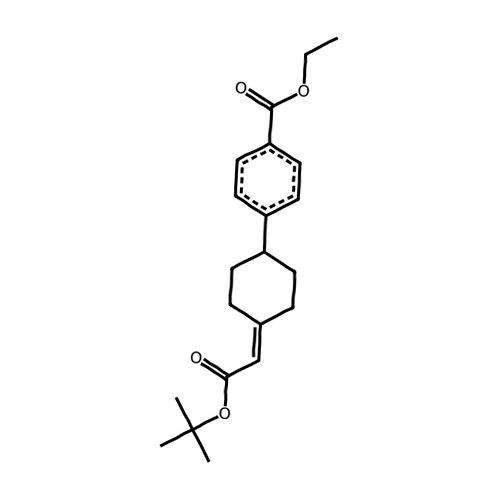 CCOC(=O)c1ccc(C2CCC(=CC(=O)OC(C)(C)C)CC2)cc1